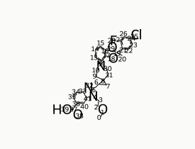 COCCN1C(C2CC23CCN(c2cccc4c2OC(C)(c2ccc(Cl)cc2F)O4)CC3)=NC2C=CC(C(=O)O)=CC21